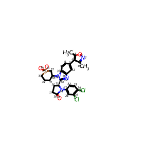 Cc1noc(C)c1-c1ccc2c(c1)nc([C@@H]1CCC(=O)N1c1ccc(Cl)c(Cl)c1)n2C1CCCS(=O)(=O)C1